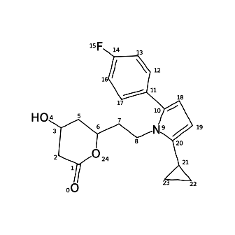 O=C1CC(O)CC(CCn2c(-c3ccc(F)cc3)ccc2C2CC2)O1